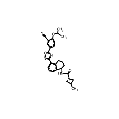 CC1CN(C(=O)N[C@@H]2CCCc3c(-c4noc(-c5ccc(OC(C)C)c(C#N)c5)n4)cccc32)C1